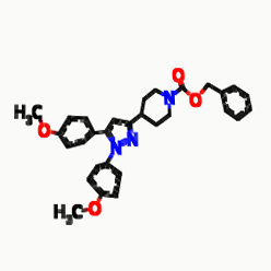 COc1ccc(-c2cc(C3CCN(C(=O)OCc4ccccc4)CC3)nn2-c2ccc(OC)cc2)cc1